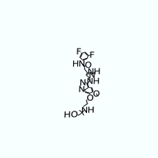 COc1cc2c(Nc3cc(CC(=O)Nc4cc(F)cc(F)c4)[nH]n3)ncnc2cc1OCCCNC(C)(C)CO